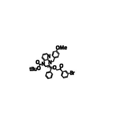 COc1ccc(CN2c3ncccc3N(C(=O)OC(C)(C)C)C[C@@H]2[C@H](OCC(=O)c2cccc(Br)c2)c2ccccc2)cc1